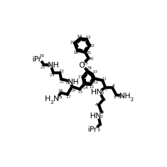 CC(C)CNCCCNC(CCN)Cc1cc(CC(CCN)NCCCNCC(C)C)cc(OCc2ccccc2)c1